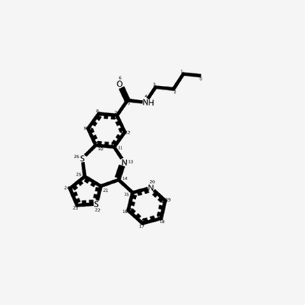 CCCCNC(=O)c1ccc2c(c1)N=C(c1ccccn1)c1sccc1S2